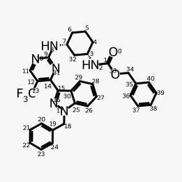 O=C(N[C@H]1CCC[C@@H](Nc2ncc(C(F)(F)F)c(-c3nn(Cc4ccccc4)c4ccccc34)n2)C1)OCc1ccccc1